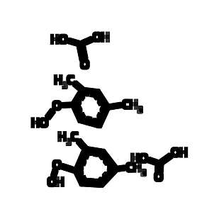 Cc1ccc(OO)c(C)c1.Cc1ccc(OO)c(C)c1.O=C(O)O.O=C(O)O